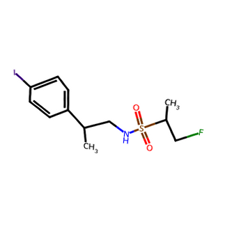 CC(CNS(=O)(=O)C(C)CF)c1ccc(I)cc1